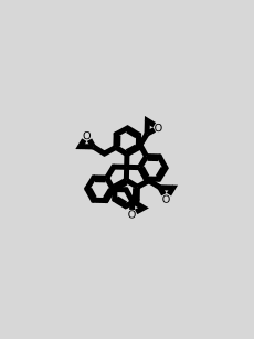 c1ccc(CC(c2ccccc2CC2CO2)(c2ccccc2CC2CO2)c2ccccc2CC2CO2)c(CC2CO2)c1